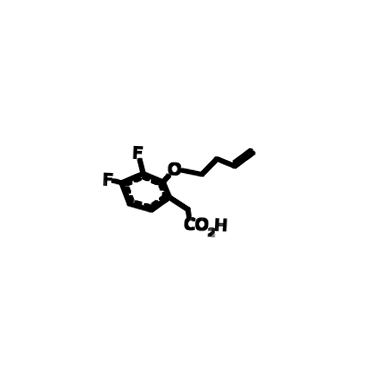 C=CCCOc1c(CC(=O)O)ccc(F)c1F